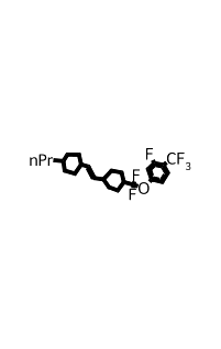 CCCC1CCC(/C=C/C2CCC(C(F)(F)Oc3ccc(C(F)(F)F)c(F)c3)CC2)CC1